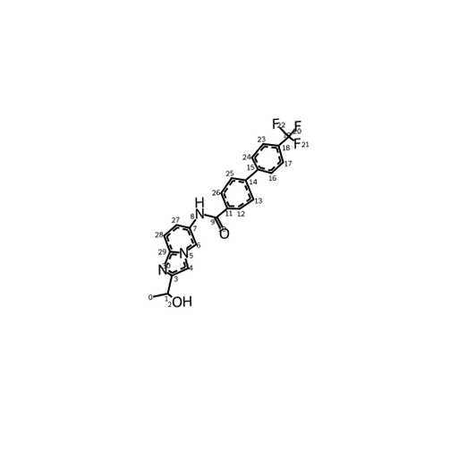 CC(O)c1cn2cc(NC(=O)c3ccc(-c4ccc(C(F)(F)F)cc4)cc3)ccc2n1